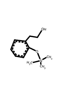 C[Si](C)(C)Oc1ccccc1CCO